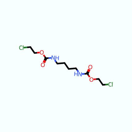 O=C(NCCCCNC(=O)OCCCl)OCCCl